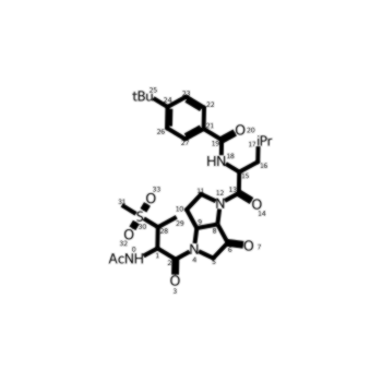 CC(=O)NC(C(=O)N1CC(=O)C2C1CCN2C(=O)C(CC(C)C)NC(=O)c1ccc(C(C)(C)C)cc1)C(C)S(C)(=O)=O